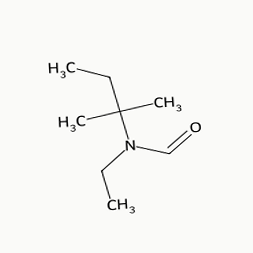 CCN(C=O)C(C)(C)CC